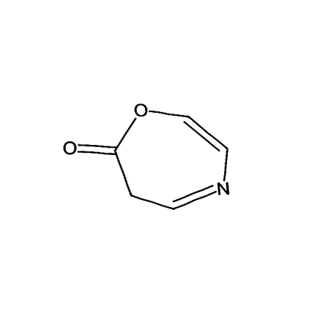 O=C1CC=NC=CO1